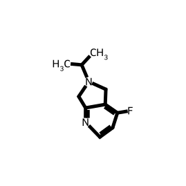 CC(C)N1Cc2nccc(F)c2C1